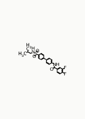 CC(C)CNS(=O)(=O)c1ccc(-c2ccc(NC(=O)c3ccc(F)c(F)c3)cc2)cc1